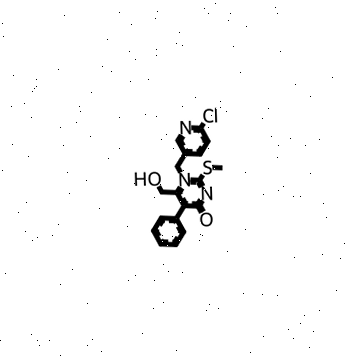 CSc1nc(=O)c(-c2ccccc2)c(CO)n1Cc1ccc(Cl)nc1